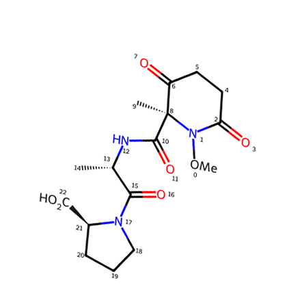 CON1C(=O)CCC(=O)[C@]1(C)C(=O)N[C@@H](C)C(=O)N1CCC[C@H]1C(=O)O